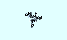 CN1CCN(CCNC(=O)c2cc(Nc3cc(C4CC4)[nH]n3)nc(NCc3cc(-c4ccccc4)no3)n2)CC1